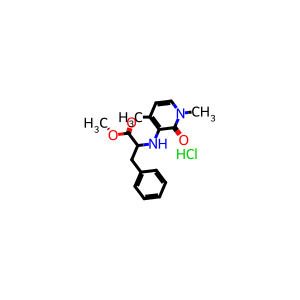 COC(=O)C(Cc1ccccc1)Nc1c(C)ccn(C)c1=O.Cl